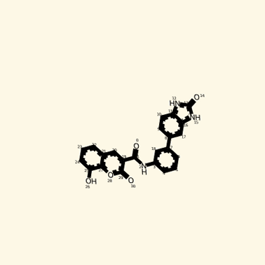 O=C(Nc1cccc(-c2ccc3[nH]c(=O)[nH]c3c2)c1)c1cc2cccc(O)c2oc1=O